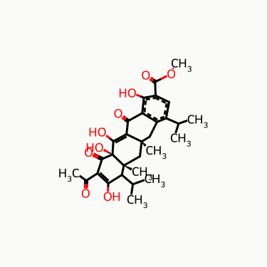 COC(=O)c1cc(C(C)C)c2c(c1O)C(=O)C1=C(O)[C@@]3(O)C(=O)C(C(C)=O)=C(O)C(C(C)C)[C@@]3(C)C[C@@]1(C)C2